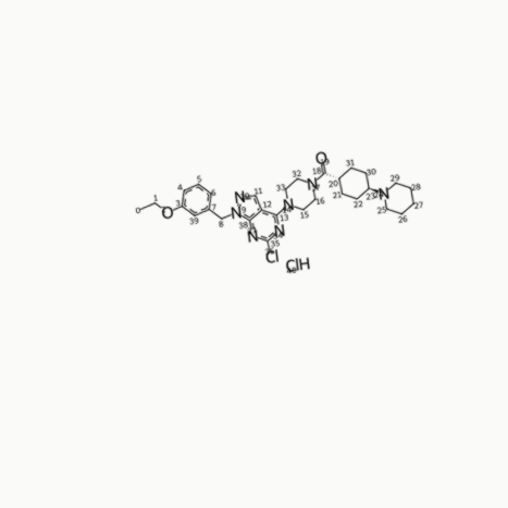 CCOc1cccc(Cn2ncc3c(N4CCN(C(=O)[C@H]5CC[C@H](N6CCCCC6)CC5)CC4)nc(Cl)nc32)c1.Cl